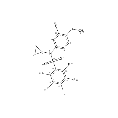 COc1ccc(N(C2CC2)S(=O)(=O)c2c(F)c(F)c(F)c(F)c2F)cc1F